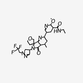 CCNC(=O)C1CC(C2CC(C)C3C(=O)N(C4C=NN(CC(F)(F)F)C4)[C@@]4(CCOC4)C3=N2)C=NC1OC